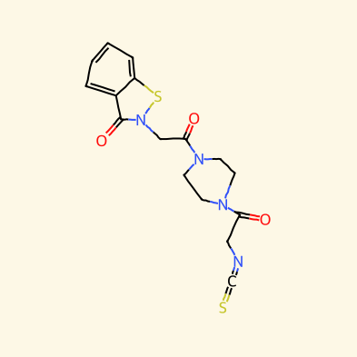 O=C(CN=C=S)N1CCN(C(=O)Cn2sc3ccccc3c2=O)CC1